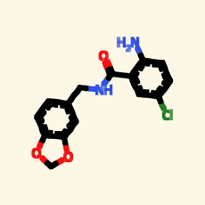 Nc1ccc(Cl)cc1C(=O)NCc1ccc2c(c1)OCO2